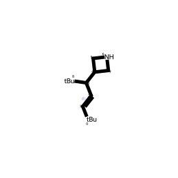 CC(C)(C)/C=C/C(C1CNC1)C(C)(C)C